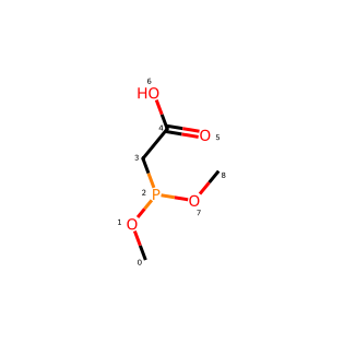 COP(CC(=O)O)OC